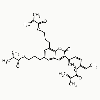 C=C(C)C(=O)OCCCc1cc(CCCOC(=O)C(=C)C)c2oc(=O)c(C(=C)/C=C\C(=C/C)OC(=O)C(=C)C)cc2c1